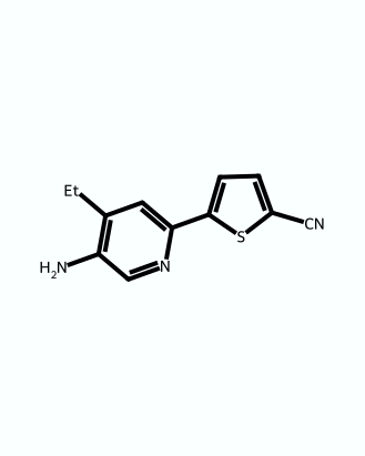 CCc1cc(-c2ccc(C#N)s2)ncc1N